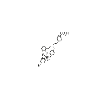 O=C(O)c1ccc(CCC(/C=C/c2ccccc2OC(F)(F)c2ccc(Br)cc2)Cc2ccc(C(=O)O)cc2)cc1